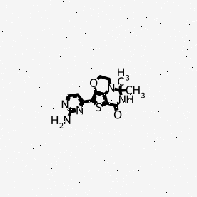 CC1(C)NC(=O)c2sc(-c3ccnc(N)n3)c3c2N1CCO3